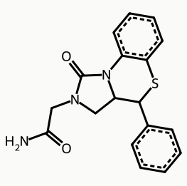 NC(=O)CN1CC2C(c3ccccc3)Sc3ccccc3N2C1=O